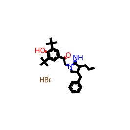 Br.CCCC1C(=N)N(CC(=O)c2cc(C(C)(C)C)c(O)c(C(C)(C)C)c2)CC1Cc1ccccc1